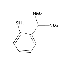 CNC(NC)c1ccccc1[SiH3]